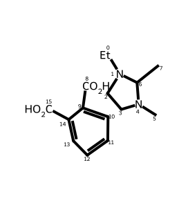 CCN1CCN(C)C1C.O=C(O)c1ccccc1C(=O)O